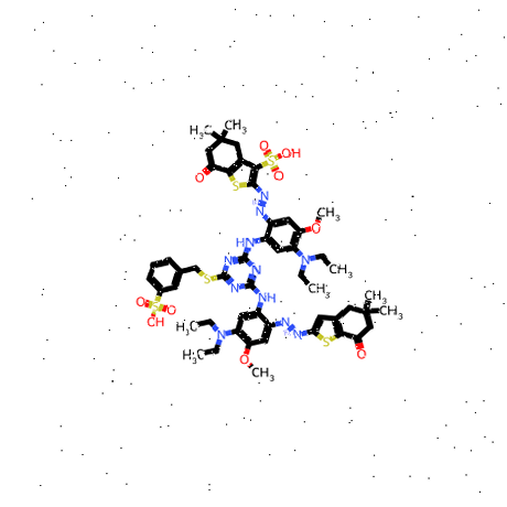 CCN(CC)c1cc(Nc2nc(Nc3cc(N(CC)CC)c(OC)cc3/N=N/c3sc4c(c3S(=O)(=O)O)CC(C)(C)CC4=O)nc(SCc3cccc(S(=O)(=O)O)c3)n2)c(/N=N/c2cc3c(s2)C(=O)CC(C)(C)C3)cc1OC